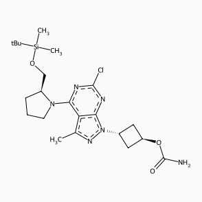 Cc1nn([C@H]2C[C@H](OC(N)=O)C2)c2nc(Cl)nc(N3CCC[C@H]3CO[Si](C)(C)C(C)(C)C)c12